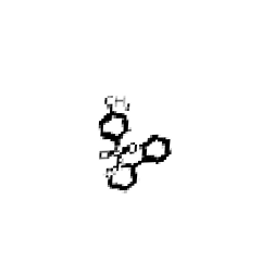 Cc1ccc(S(=O)(=O)N2OC=CC=C2c2ccccc2)cc1